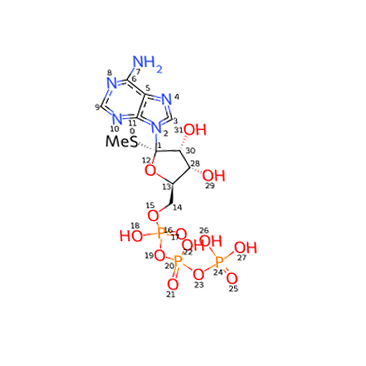 CS[C@@]1(n2cnc3c(N)ncnc32)O[C@H](COP(=O)(O)OP(=O)(O)OP(=O)(O)O)[C@@H](O)[C@H]1O